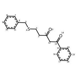 O=C(CCSCc1ccccc1)CC(=O)c1ccccc1